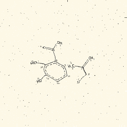 C=C(C)CCl.O=C(O)c1cccc(O)c1O